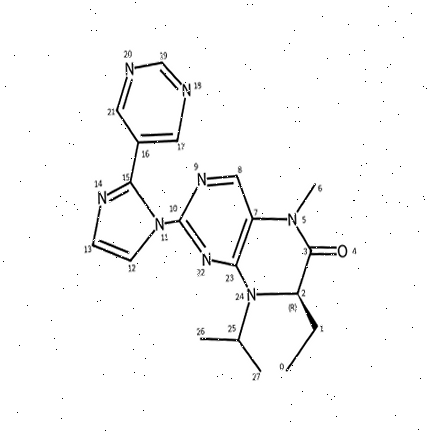 CC[C@@H]1C(=O)N(C)c2cnc(-n3ccnc3-c3cncnc3)nc2N1C(C)C